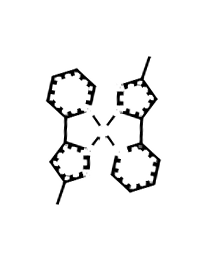 Cc1cc2n(n1)[PH]1(n3nc(C)cc3-c3cccc[n+]31)[n+]1ccccc1-2